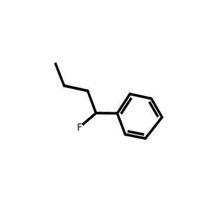 CCCC(F)c1ccccc1